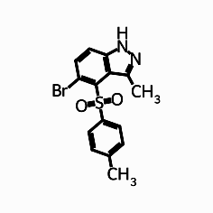 Cc1ccc(S(=O)(=O)c2c(Br)ccc3[nH]nc(C)c23)cc1